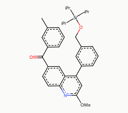 COc1cc(-c2cccc(CO[Si](C(C)C)(C(C)C)C(C)C)c2)c2cc(C(=O)c3cccc(C)c3)ccc2n1